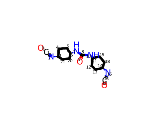 O=C=N[C@H]1CC[C@H](NC(=O)N[C@H]2CC[C@H](N=C=O)CC2)CC1